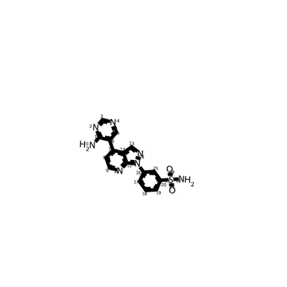 Nc1ncncc1-c1ccnc2c1cnn2-c1cccc(S(N)(=O)=O)c1